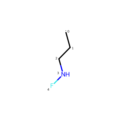 [CH2]CCNF